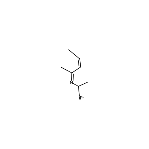 C/C=C\C(C)=N/C(C)C(C)C